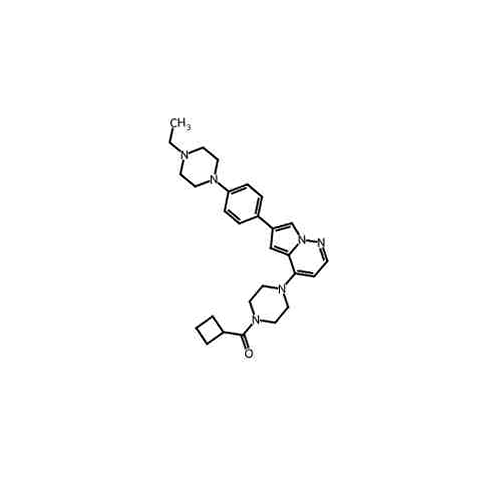 CCN1CCN(c2ccc(-c3cc4c(N5CCN(C(=O)C6CCC6)CC5)ccnn4c3)cc2)CC1